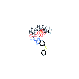 COC(=O)Nc1nc2cc(Sc3ccccc3)ccc2n1COP(=O)(OC(C)(C)C)OC(C)(C)C